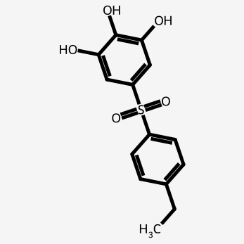 CCc1ccc(S(=O)(=O)c2cc(O)c(O)c(O)c2)cc1